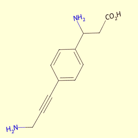 NCC#Cc1ccc(C(N)CC(=O)O)cc1